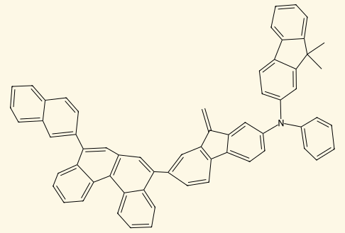 C=C1c2cc(-c3cc4cc(-c5ccc6ccccc6c5)c5ccccc5c4c4ccccc34)ccc2-c2ccc(N(c3ccccc3)c3ccc4c(c3)C(C)(C)c3ccccc3-4)cc21